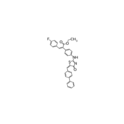 CCOC(=O)/C(=C\c1ccc(F)cc1)c1ccc(NC2=NC(=O)/C(=C\c3ccc(-c4ccccc4)cc3)S2)cc1